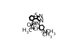 CN(C)C(=O)Oc1cccc2sc3ncnc(N[C@H]4CC[C@H](N(C)C)CC4)c3c12